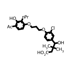 CCCc1c(OCCCOc2ccc(C(O)C(C)(C)CC(=O)O)cc2Cl)ccc(C(C)=O)c1O